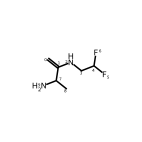 C=C(NCC(F)F)C(C)N